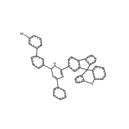 N#Cc1cccc(-c2cccc(C3N=C(c4ccccc4)N=C(c4ccc5c(c4)C4(c6ccccc6Oc6ccccc64)c4ccccc4-5)N3)c2)c1